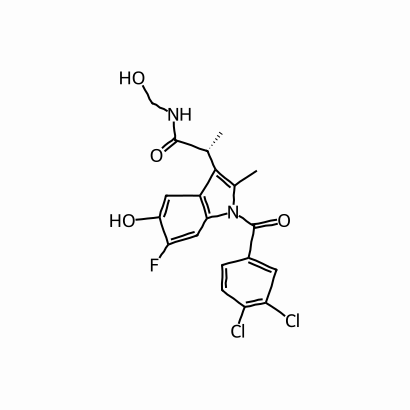 Cc1c([C@@H](C)C(=O)NCO)c2cc(O)c(F)cc2n1C(=O)c1ccc(Cl)c(Cl)c1